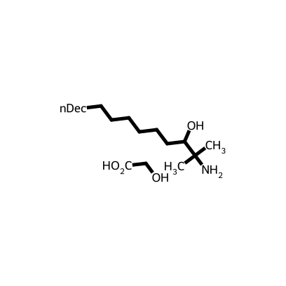 CCCCCCCCCCCCCCCCC(O)C(C)(C)N.O=C(O)CO